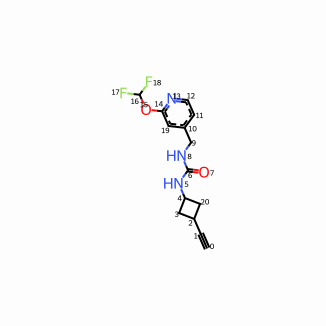 C#CC1CC(NC(=O)NCc2ccnc(OC(F)F)c2)C1